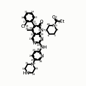 CCC(=O)N1CCC[C@H](n2c(=O)c(-c3ccccc3Cl)c(C)c3cnc(Nc4ccc(N5CCNCC5)cn4)nc32)C1